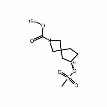 CC(C)(C)OC(=O)N1CC2(CC[C@@H](OS(C)(=O)=O)C2)C1